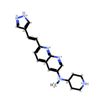 CN(c1cnc2nc(/C=C/c3cn[nH]c3)ccc2c1)C1CCNCC1